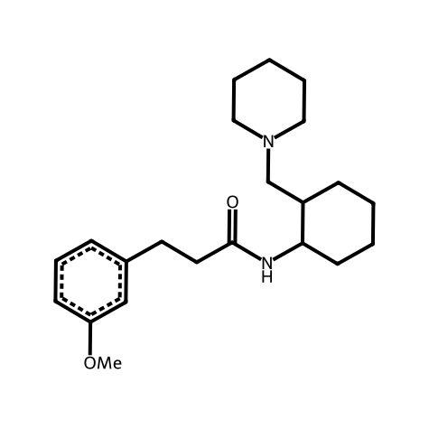 COc1cccc(CCC(=O)NC2CCCCC2CN2CCCCC2)c1